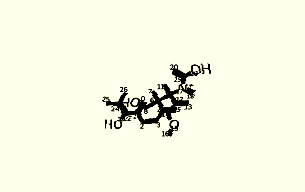 C=C(/C=C\C(=C)C(C)(CO)C(C)(C(=C)COC)[N+](=C)C(=C)O)C(O)=C(C)C